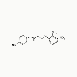 CC(C)(C)c1ccc(CNCCOc2cccc([N+](=O)[O-])c2N)cc1